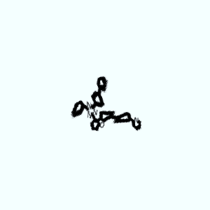 c1ccc(-c2ccc(-c3nc(-c4ccccc4)nc(-c4cccc5oc6c(-c7ccc(-c8ccccn8)cc7)cccc6c45)n3)cc2)cc1